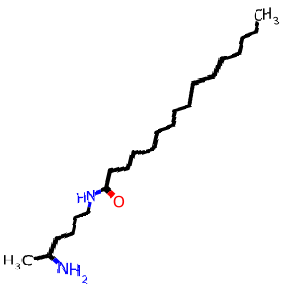 CCCCCCCCCCCCCCCC(=O)NCCCCC(C)N